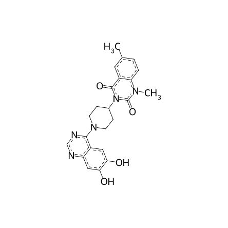 Cc1ccc2c(c1)c(=O)n(C1CCN(c3ncnc4cc(O)c(O)cc34)CC1)c(=O)n2C